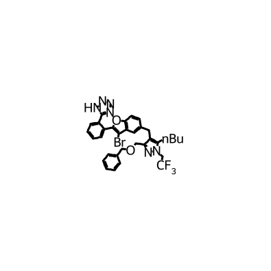 CCCCc1c(Cc2ccc3oc(-c4ccccc4-c4nnn[nH]4)c(Br)c3c2)c(COCc2ccccc2)nn1CC(F)(F)F